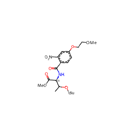 COCCOc1ccc(C(=O)N[C@H](C(=O)OC)C(C)OC(C)(C)C)c([N+](=O)[O-])c1